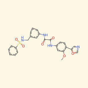 COc1cc(NC(=O)C(=O)Nc2cccc(CNS(=O)(=O)c3ccccc3)c2)ccc1-c1cnco1